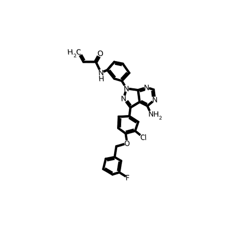 C=CC(=O)Nc1cccc(-n2nc(-c3ccc(OCc4cccc(F)c4)c(Cl)c3)c3c(N)ncnc32)c1